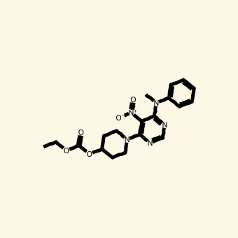 CCOC(=O)OC1CCN(c2ncnc(N(C)c3ccccc3)c2[N+](=O)[O-])CC1